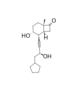 C[C@]12CC[C@@H](O)[C@H](C#C[C@@H](O)CC3CCCC3)[C@H]1CC2=O